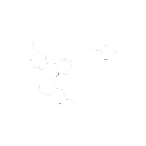 Oc1ccc2c(c1)[C@H](c1ccc(OCCN3CCCC3)cc1)[C@@H](c1ccc(F)cc1)CO2